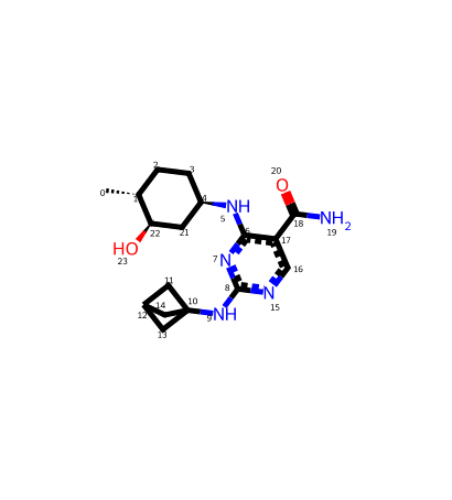 C[C@@H]1CC[C@@H](Nc2nc(NC34CC(C3)C4)ncc2C(N)=O)C[C@H]1O